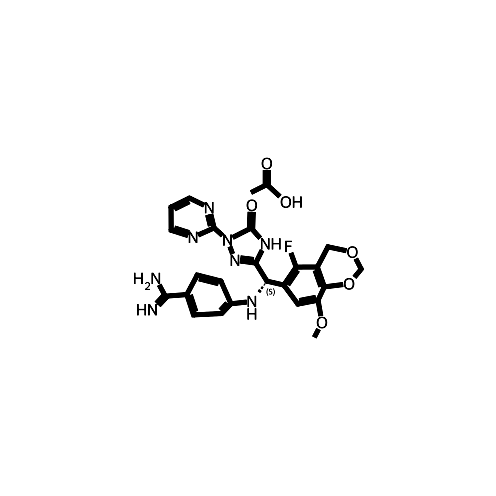 CC(=O)O.COc1cc([C@H](Nc2ccc(C(=N)N)cc2)c2nn(-c3ncccn3)c(=O)[nH]2)c(F)c2c1OCOC2